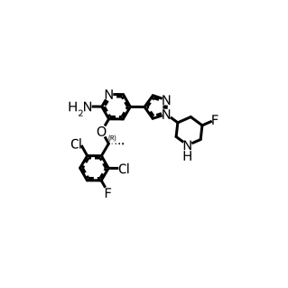 C[C@@H](Oc1cc(-c2cnn(C3CNCC(F)C3)c2)cnc1N)c1c(Cl)ccc(F)c1Cl